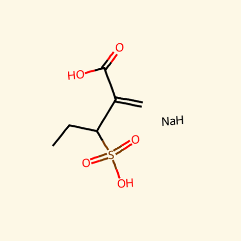 C=C(C(=O)O)C(CC)S(=O)(=O)O.[NaH]